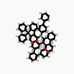 c1ccc(-c2ccc(N(c3cccc4c3-c3ccccc3C4(c3ccccc3)c3ccccc3)c3c(-c4cccc(-c5ccccc5-c5ccccc5)c4)c4ccccc4c4ccccc34)cc2)cc1